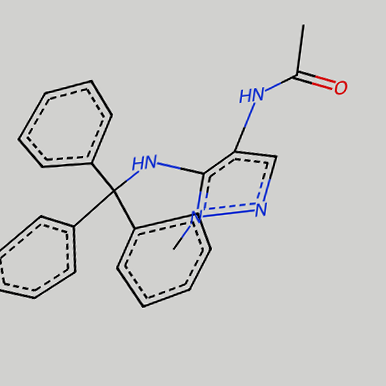 CC(=O)Nc1cnn(C)c1NC(c1ccccc1)(c1ccccc1)c1ccccc1